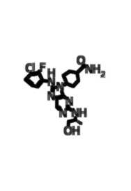 C[C@@H](CO)Nc1ncc2nc(Nc3cccc(Cl)c3F)n(C3CCC(C(N)=O)CC3)c2n1